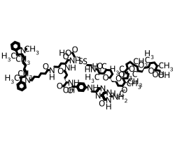 CO[C@@H]1C[C@@H](C[C@H]2CC[C@H](C)C([C@@H](C)C(=O)NCCSSC[C@H](NC(=O)C(CCCNC(=O)CCCCC[N+]3=C(/C=C/C=C/C=C4/N(C)c5ccccc5C4(C)C)C(C)(C)c4ccccc43)NC(=O)CC[C@H](NC(=O)c3ccc(NCc4cnc5nc(N)[nH]c(=O)c5n4)cc3)C(=O)O)C(=O)O)O2)O[C@]2(O[C@@](C)(C3CC[C@@](C)([C@@H]4O[C@@H]([C@@H]5O[C@@](O)(CO)[C@H](C)C[C@@H]5C)C[C@@H]4C)O3)C[C@H]2C)[C@@H]1C